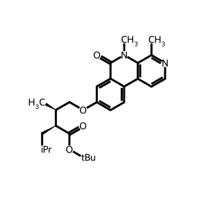 Cc1nccc2c3ccc(OC[C@H](C)[C@H](CC(C)C)C(=O)OC(C)(C)C)cc3c(=O)n(C)c12